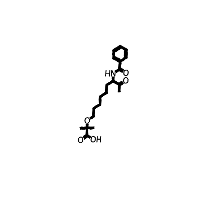 CC(=O)C(CCCCCCOC(C)(C)C(=O)O)NC(=O)c1ccccc1